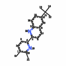 Cc1ccc(-c2ccc3cc(C(C)(C)C)ccc3n2)nc1C